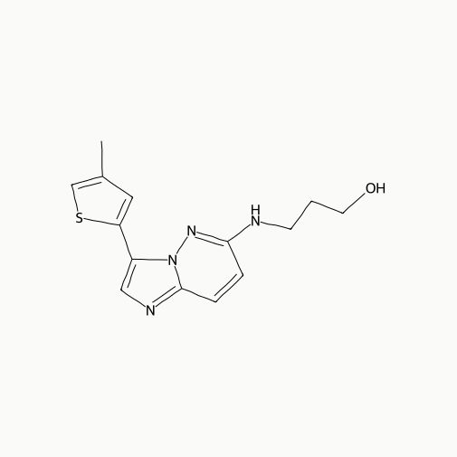 Cc1csc(-c2cnc3ccc(NCCCO)nn23)c1